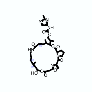 CC1=C\C(O)CC(=O)Cc2nc(co2)C(=O)N2CCCC2C(=O)OC(C(C)COC(=O)Nc2csc(C)n2)C(C)/C=C/C(=O)NC\C=C\1